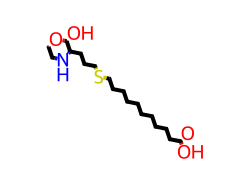 O=C(O)CCCCCCCCCCSCCCC1NCCOC1O